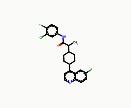 CC(C(=O)Nc1ccc(Cl)c(Cl)c1)C1CCC(c2ccnc3ccc(F)cc23)CC1